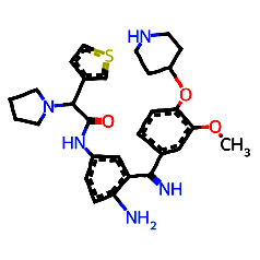 COc1cc(C(=N)c2cc(NC(=O)C(c3ccsc3)N3CCCC3)ccc2N)ccc1OC1CCNCC1